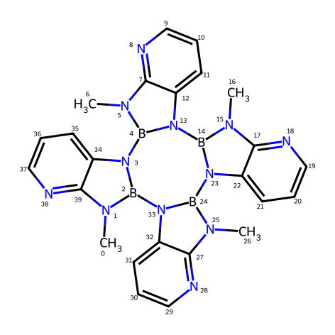 CN1B2N(B3N(C)c4ncccc4N3B3N(C)c4ncccc4N3B3N(C)c4ncccc4N23)c2cccnc21